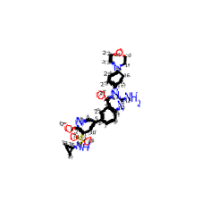 COc1ncc(-c2ccc3nc(N)n(-c4ccc(N5CCOCC5)cc4)c(=O)c3c2)cc1S(=O)(=O)NC1CC1